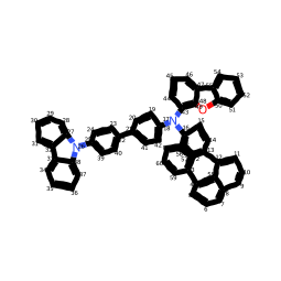 c1ccc(-c2cccc3cccc(-c4ccc(N(c5ccc(-c6ccc(-n7c8ccccc8c8ccccc87)cc6)cc5)c5cccc6c5oc5ccccc56)cc4)c23)cc1